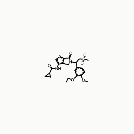 CCOc1cc(C(CS(C)(=O)=O)N2Cc3c(NC(=O)C4CC4)csc3C2=O)ccc1OC